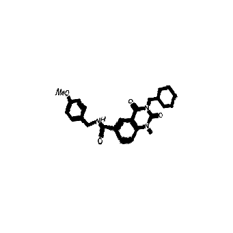 COc1ccc(CNC(=O)c2ccc3c(c2)c(=O)n(CC2CCCCC2)c(=O)n3C)cc1